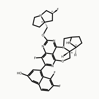 Oc1cc(-c2nc3c4c(nc(OC[C@]56CCCN5C[C@@H](F)C6)nc4c2F)N2CC4CC[C@H](N4)[C@@H]2CO3)c2c(F)c(F)ccc2c1